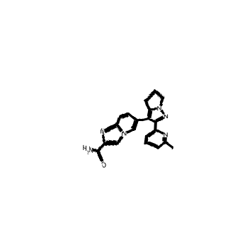 Cc1cccc(-c2nn3c(c2-c2ccc4nc(C(N)=O)cn4c2)CCC3)n1